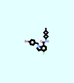 CC1CC2(C1)CC(NC(=O)c1ccc(F)c3ccn(Cc4ccc(Br)cc4)c13)C2